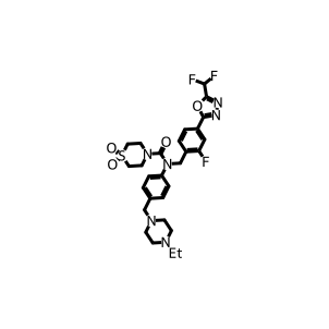 CCN1CCN(Cc2ccc(N(Cc3ccc(-c4nnc(C(F)F)o4)cc3F)C(=O)N3CCS(=O)(=O)CC3)cc2)CC1